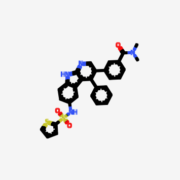 CN(C)C(=O)c1cccc(-c2cnc3[nH]c4ccc(NS(=O)(=O)c5cccs5)cc4c3c2-c2ccccc2)c1